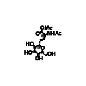 COC(=O)[C@H](C=C[C@@H]1O[C@H](CO)[C@@H](O)[C@H](O)[C@H]1O)NC(C)=O